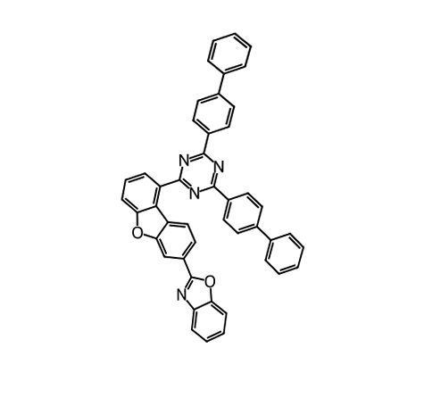 c1ccc(-c2ccc(-c3nc(-c4ccc(-c5ccccc5)cc4)nc(-c4cccc5oc6cc(-c7nc8ccccc8o7)ccc6c45)n3)cc2)cc1